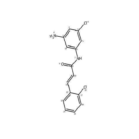 Nc1cc(Cl)cc(NC(=O)C=Cc2ccccc2Cl)c1